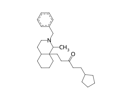 CC1N(Cc2ccccc2)CCC2CCCCC21CCC(=O)CCC1CCCC1